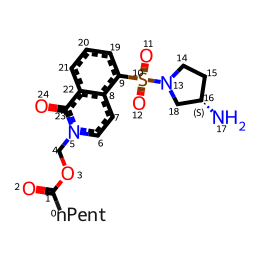 CCCCCC(=O)OCn1ccc2c(S(=O)(=O)N3CC[C@H](N)C3)cccc2c1=O